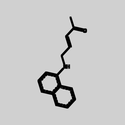 CC(=O)C=CCNc1cccc2ccccc12